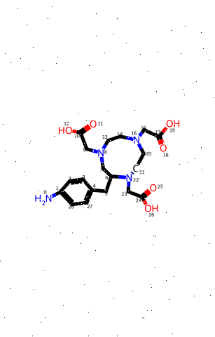 Nc1ccc(CC2CN(CC(=O)O)CCN(CC(=O)O)CCN2CC(=O)O)cc1